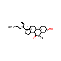 C=C[C@H](CCC(=O)O)[C@H]1CCC2C3C(=O)[C@H](CC)C4C[C@H](O)CC[C@]4(C)C3CC[C@@]21C